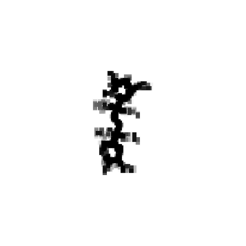 CC(C)(C)c1cc(C(C)(C)CCC(C)(C)c2cnc(F)c(C(C)(C)C)c2)[nH]c(=O)c1